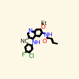 CC=CC(=O)Nc1cc2c(Nc3ccc(F)c(Cl)c3)c(C#N)cnc2cc1OCC